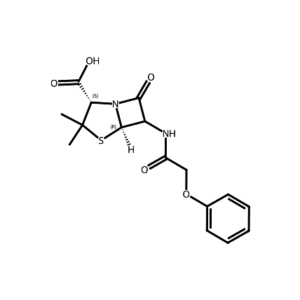 CC1(C)S[C@@H]2C(NC(=O)COc3ccccc3)C(=O)N2[C@H]1C(=O)O